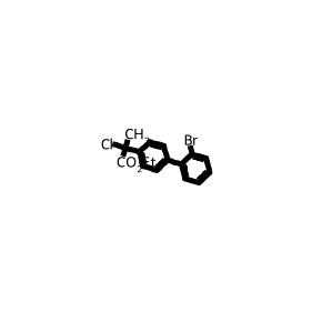 CCOC(=O)C(C)(Cl)c1ccc(-c2ccccc2Br)cc1